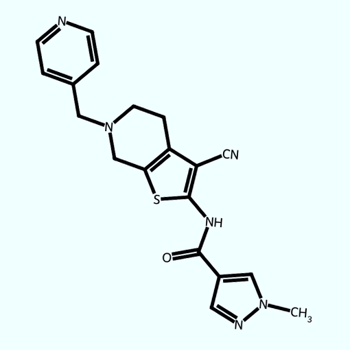 Cn1cc(C(=O)Nc2sc3c(c2C#N)CCN(Cc2ccncc2)C3)cn1